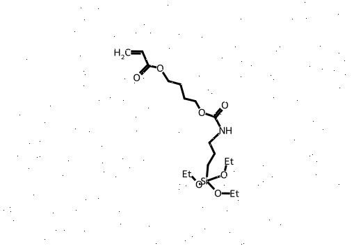 C=CC(=O)OCCCCOC(=O)NCCC[Si](OCC)(OCC)OCC